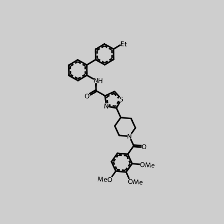 CCc1ccc(-c2ccccc2NC(=O)c2csc(C3CCN(C(=O)c4ccc(OC)c(OC)c4OC)CC3)n2)cc1